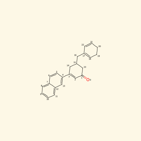 O=C1C=C(c2ccc3ccccc3c2)CC(CC2=CCCC=C2)C1